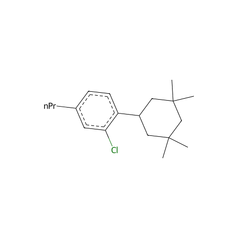 [CH2]CCc1ccc(C2CC(C)(C)CC(C)(C)C2)c(Cl)c1